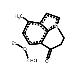 CCOC=O.Cc1ccc2c3c1ccn3CCC2=O